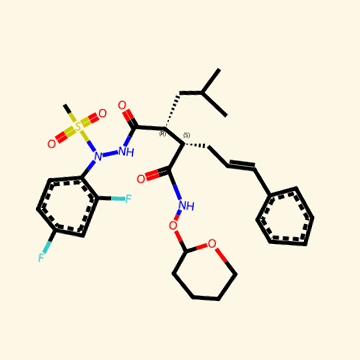 CC(C)C[C@@H](C(=O)NN(c1ccc(F)cc1F)S(C)(=O)=O)[C@H](CC=Cc1ccccc1)C(=O)NOC1CCCCO1